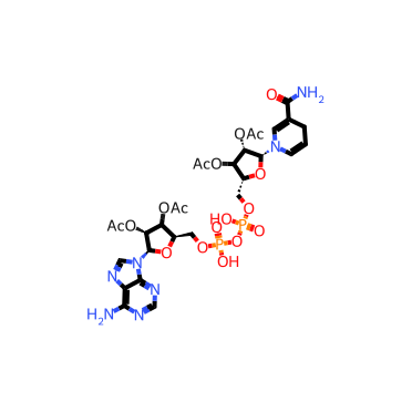 CC(=O)OC1[C@@H](COP(=O)(O)OP(=O)(O)OC[C@H]2O[C@@H](n3cnc4c(N)ncnc43)[C@@H](OC(C)=O)C2OC(C)=O)O[C@@H](N2C=CCC(C(N)=O)=C2)[C@H]1OC(C)=O